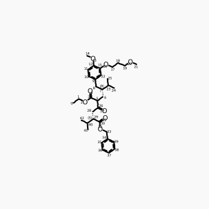 CCOC(=O)C(C[C@H](Cc1ccc(OC)c(OCCCOC)c1)C(C)C)C(=O)C[C@H](C(=O)OCc1ccccc1)C(C)C